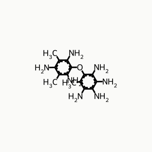 Cc1c(N)c(C)c(N)c(Oc2c(C)c(N)c(N)c(N)c2N)c1N